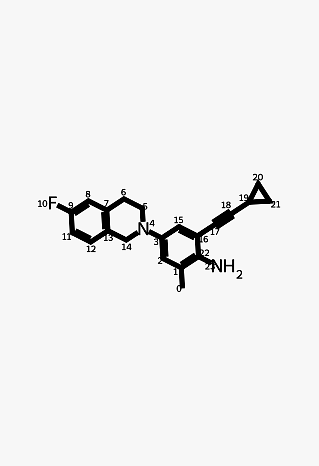 Cc1cc(N2CCc3cc(F)ccc3C2)cc(C#CC2CC2)c1N